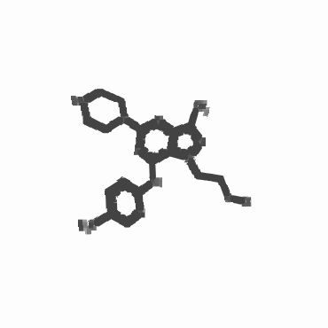 CCOCCn1nc(C)c2nc(N3CCNCC3)nc(Nc3ccc(C)cn3)c21